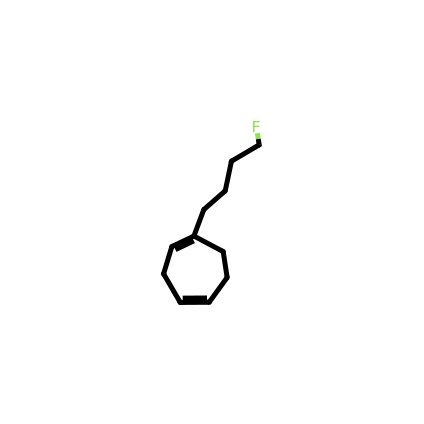 FCCCCC1=CCC=CCC1